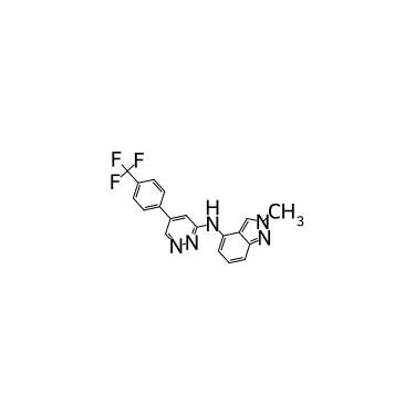 Cn1cc2c(Nc3cc(-c4ccc(C(F)(F)F)cc4)cnn3)cccc2n1